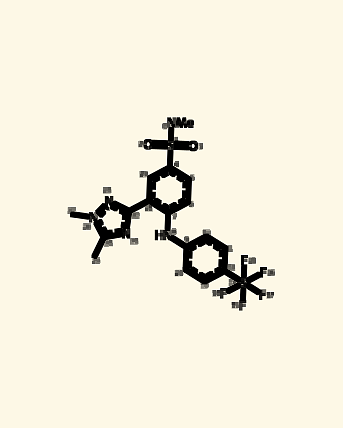 CNS(=O)(=O)c1ccc(Nc2ccc(S(F)(F)(F)(F)F)cc2)c(-c2nc(C)n(C)n2)c1